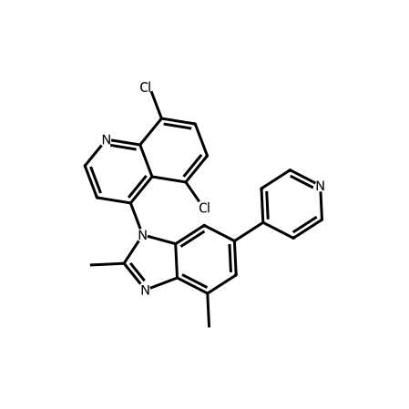 Cc1cc(-c2ccncc2)cc2c1nc(C)n2-c1ccnc2c(Cl)ccc(Cl)c12